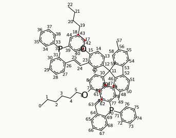 CCCCCCOc1ccc(C2(c3ccc(OCCCCCC)c(/C=C/c4ccccc4P(c4ccccc4)c4ccccc4)c3)c3cc(C)ccc3-c3ccc(C)cc32)cc1/C=C/c1ccccc1P(c1ccccc1)c1ccccc1